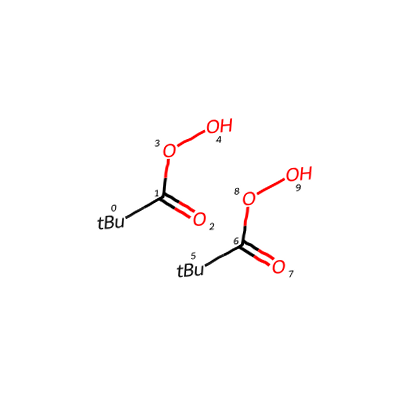 CC(C)(C)C(=O)OO.CC(C)(C)C(=O)OO